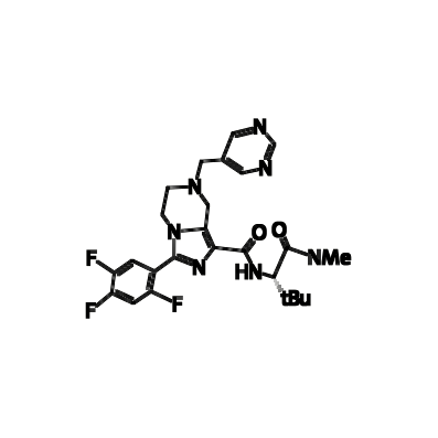 CNC(=O)[C@@H](NC(=O)c1nc(-c2cc(F)c(F)cc2F)n2c1CN(Cc1cncnc1)CC2)C(C)(C)C